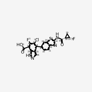 O=C(O)c1c(F)c(Cl)c(-c2ccc3nc(NC(=O)[C@@H]4C[C@@H]4F)sc3c2)c2cn[nH]c12